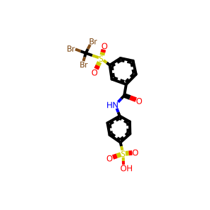 O=C(Nc1ccc(S(=O)(=O)O)cc1)c1cccc(S(=O)(=O)C(Br)(Br)Br)c1